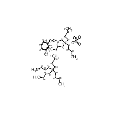 CCCC[N+](CCCC)(CCCC)CCCC.CCCC[N+](CCCC)(CCCC)CCCC.Cc1ccccc1.O=S(=O)([O-])[O-]